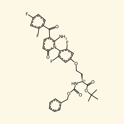 CC(C)(C)OC(=O)[C@H](CCOc1cc(F)c(-n2c(N)c(C(=O)c3ccc(F)cc3F)ccc2=O)c(F)c1)NC(=O)OCc1ccccc1